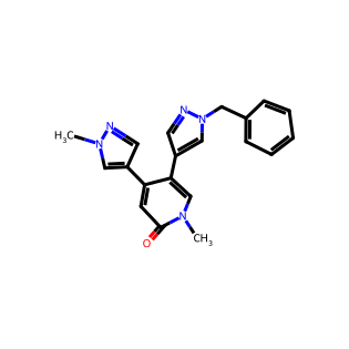 Cn1cc(-c2cc(=O)n(C)cc2-c2cnn(Cc3ccccc3)c2)cn1